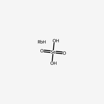 O=[Se](=O)(O)O.[RbH]